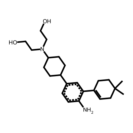 CC1(C)CC=C(c2cc(C3CCC(N(CCO)CCO)CC3)ccc2N)CC1